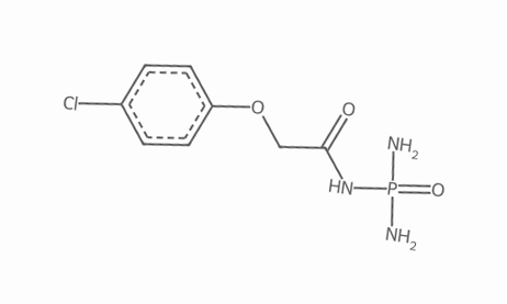 NP(N)(=O)NC(=O)COc1ccc(Cl)cc1